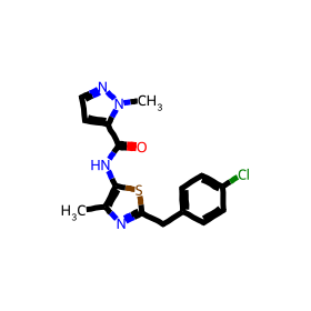 Cc1nc(Cc2ccc(Cl)cc2)sc1NC(=O)c1ccnn1C